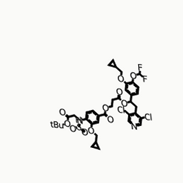 CC(C)(C)OC(=O)CN(c1ccc(C(=O)OCCC(=O)OC(Cc2c(Cl)cncc2Cl)c2ccc(OC(F)F)c(OCC3CC3)c2)cc1OCC1CC1)[SH](=O)=O